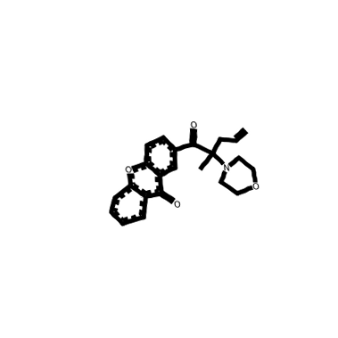 C=CCC(C)(C(=O)c1ccc2oc3ccccc3c(=O)c2c1)N1CCOCC1